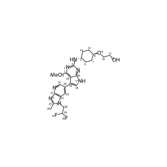 COc1nc(N[C@H]2CC[C@H](OCCO)CC2)nc2[nH]cc(-c3cnc4nc(C)n(CC(F)F)c4c3)c12